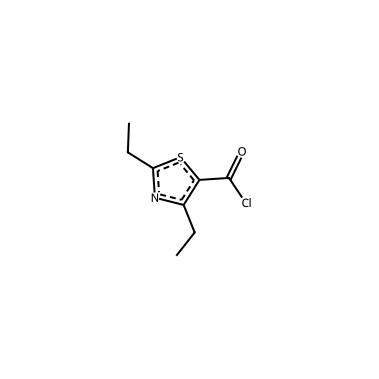 CCc1nc(CC)c(C(=O)Cl)s1